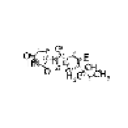 CCC(C)(C)c1cc2c(cc1F)C(=O)N([C@H]1CCC(=O)NC1=O)C2